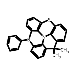 CC1(C)c2cccc3c2N2c4c(cccc4B(c4ccccc4)c4cccc1c42)S3